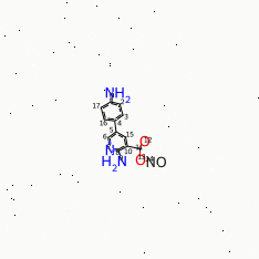 Nc1ccc(-c2cnc(N)c(C(=O)ON=O)c2)cc1